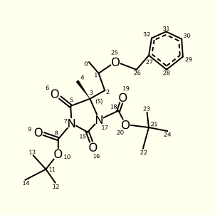 CC(C[C@@]1(C)C(=O)N(C(=O)OC(C)(C)C)C(=O)N1C(=O)OC(C)(C)C)OCc1ccccc1